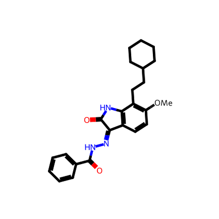 COc1ccc2c(c1CCC1CCCCC1)NC(=O)/C2=N\NC(=O)c1ccccc1